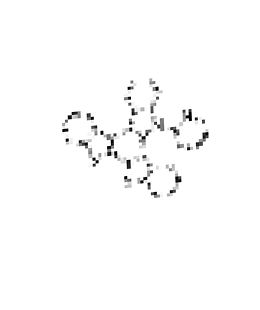 c1ccc(-n2c3ccccc3c3c4c5ccccc5sc4c4sc5ccccc5c4c32)nc1